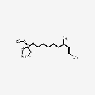 C/C=C/C(C)CCCCCC[Si](OCC)(OCC)OCC